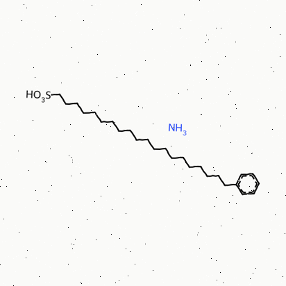 N.O=S(=O)(O)CCCCCCCCCCCCCCCCCCCCc1ccccc1